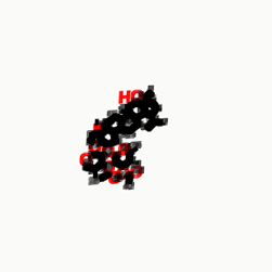 C=C(C)[C@@H]1CC[C@]2(C(=C)O)CC[C@]3(C)C(CCC4[C@@]5(C)CC[C@H](O[C@@H]6OC[C@H](C)[C@H](C)[C@H]6OC6O[C@@H](C)[C@H](C)[C@@H](OC(C)=O)[C@H]6OC(C)=O)[C@@](C)(CC)[C@@H]5CC[C@]43C)C12